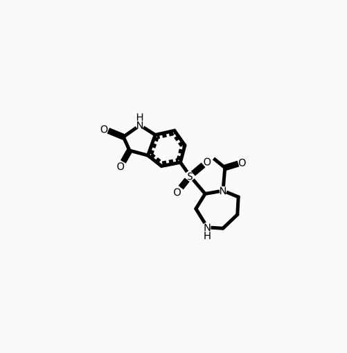 CC(=O)N1CCCNCC1S(=O)(=O)c1ccc2c(c1)C(=O)C(=O)N2